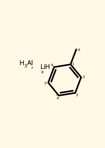 Cc1cc[c]cc1.[AlH3].[LiH]